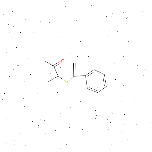 C=C(SC(C)C(C)=O)c1ccccc1